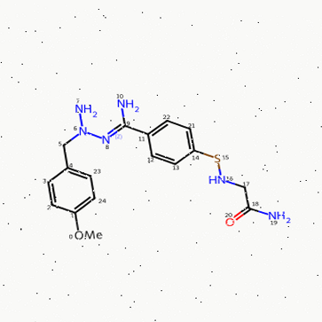 COc1ccc(CN(N)/N=C(\N)c2ccc(SNCC(N)=O)cc2)cc1